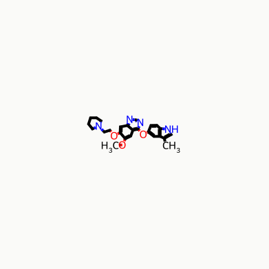 COc1cc2c(Oc3ccc4[nH]cc(C)c4c3)ncnc2cc1OCCN1CCCCC1